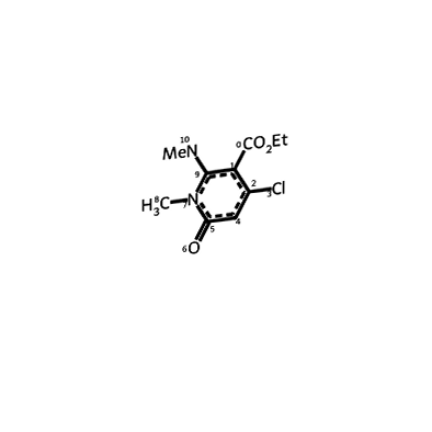 CCOC(=O)c1c(Cl)cc(=O)n(C)c1NC